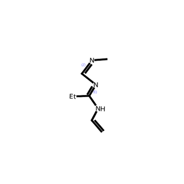 C=CN/C(CC)=N/C=N\C